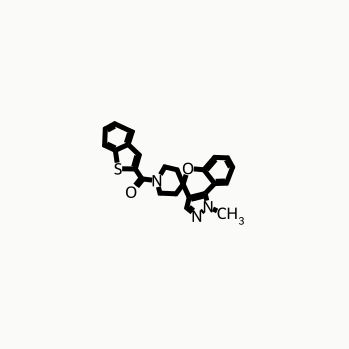 Cn1ncc2c1-c1ccccc1OC21CCN(C(=O)c2cc3ccccc3s2)CC1